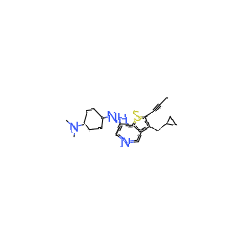 CC#Cc1sc2c(NC3CCC(N(C)C)CC3)cncc2c1CC1CC1